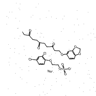 CCC(=O)CCC(=O)CCC(=O)CCOc1ccc2c(c1)OCO2.O=S(=O)([O-])OCCOc1ccc(Cl)cc1Cl.[Na+]